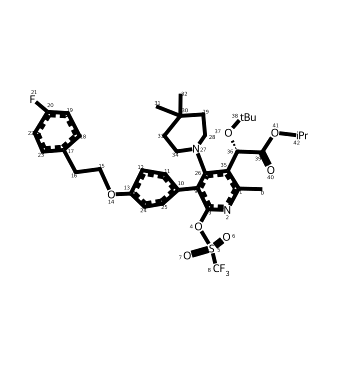 Cc1nc(OS(=O)(=O)C(F)(F)F)c(-c2ccc(OCCc3ccc(F)cc3)cc2)c(N2CCC(C)(C)CC2)c1[C@H](OC(C)(C)C)C(=O)OC(C)C